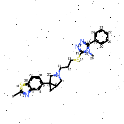 Cc1nc2cc(C34CC3CN(CCCSc3nnc(-c5ccccc5)n3C)C4)ccc2s1